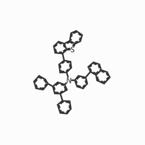 c1ccc(-c2cc(-c3ccccc3)cc(N(c3ccc(-c4cccc5c4sc4ccccc45)cc3)c3cccc(-c4cccc5ccccc45)c3)c2)cc1